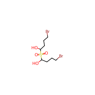 O=S(=O)(C(O)CCCBr)C(O)CCCBr